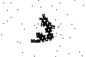 CCc1cc(-c2cc(Oc3ccc(C=N)c(NC)c3)ccn2)ccc1C(=O)N[C@@H]1CCN(C)[C@H](C)C1